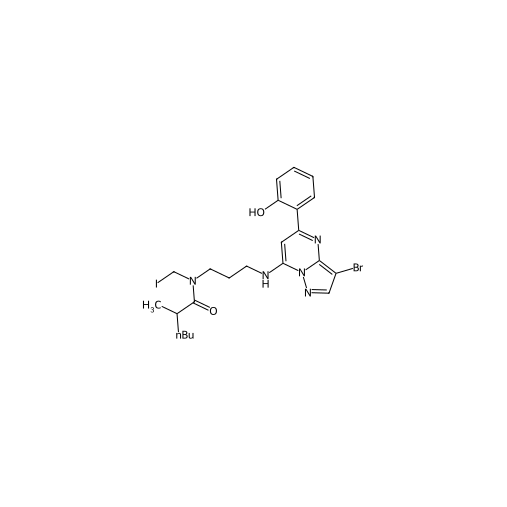 CCCCC(C)C(=O)N(CI)CCCNc1cc(-c2ccccc2O)nc2c(Br)cnn12